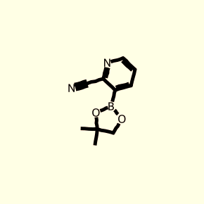 CC1(C)COB(c2cccnc2C#N)O1